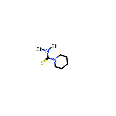 CCN(CC)C(=S)N1CCCCC1